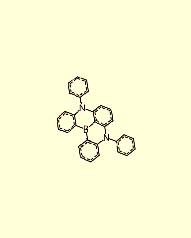 c1ccc(N2c3ccccc3B3c4ccccc4N(c4ccccc4)c4cccc2c43)cc1